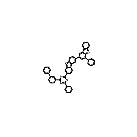 c1ccc(-c2cccc(-c3nc(-c4ccccc4)nc(-c4ccc5c(c4)sc4ccc(-c6cc(-c7ccccc7)c7sc8ccccc8c7c6)cc45)n3)c2)cc1